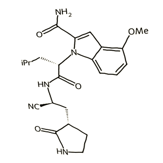 COc1cccc2c1cc(C(N)=O)n2[C@@H](CC(C)C)C(=O)N[C@H](C#N)C[C@@H]1CCNC1=O